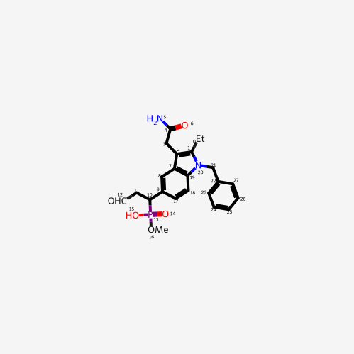 CCc1c(CC(N)=O)c2cc(C(CC=O)P(=O)(O)OC)ccc2n1Cc1ccccc1